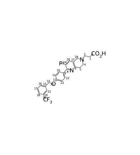 O=C(O)CCN1CCc2nc(-c3ccc(OCc4cccc(C(F)(F)F)c4)cc3)c(F)cc2C1